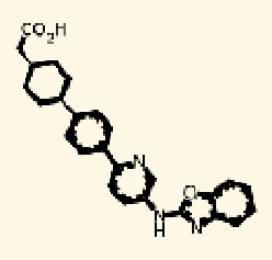 O=C(O)C[C@H]1CC[C@@H](c2ccc(-c3ccc(Nc4nc5ccccc5o4)cn3)cc2)CC1